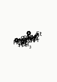 CCOCC(=O)NC(C(=O)N[C@@H](Cc1ccccc1)[C@H](O)C(=O)N1CSC(C)(C)C1C(=O)NCc1ccccc1C)C(C)C